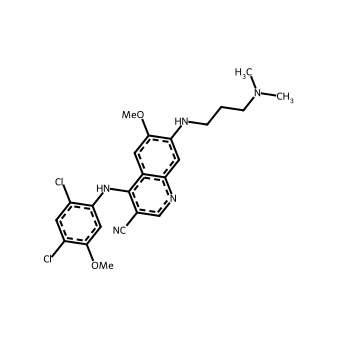 COc1cc(Nc2c(C#N)cnc3cc(NCCCN(C)C)c(OC)cc23)c(Cl)cc1Cl